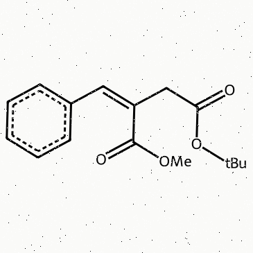 COC(=O)C(=Cc1ccccc1)CC(=O)OC(C)(C)C